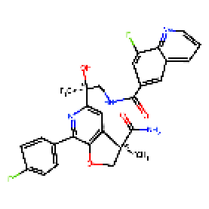 C[C@]1(C(N)=O)COc2c1cc([C@@](O)(CNC(=O)c1cc(F)c3ncccc3c1)C(F)(F)F)nc2-c1ccc(F)cc1